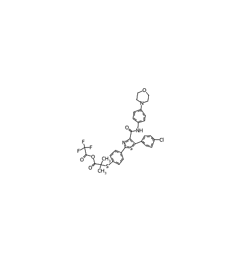 CC(C)(Sc1ccc(-c2nc(C(=O)Nc3ccc(N4CCOCC4)cc3)c(-c3ccc(Cl)cc3)s2)cc1)C(=O)OC(=O)C(F)(F)F